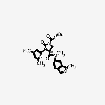 Cc1cc(C(F)(F)F)cc(N2C(=O)N(C(=O)OC(C)(C)C)C[C@H]2C(=O)N(C)c2ccc3cnn(C)c3c2)n1